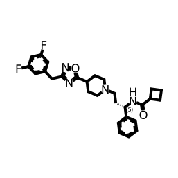 O=C(N[C@@H](CCN1CCC(c2nc(Cc3cc(F)cc(F)c3)no2)CC1)c1ccccc1)C1CCC1